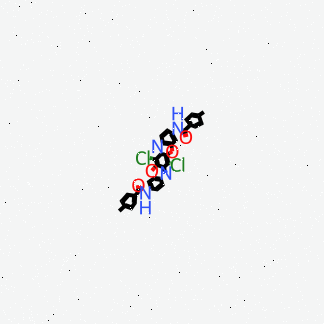 Cc1ccc(C(=O)Nc2ccc3c(c2)Oc2c(Cl)c4c(c(Cl)c2=N3)Oc2cc(NC(=O)c3ccc(C)cc3)ccc2N=4)cc1